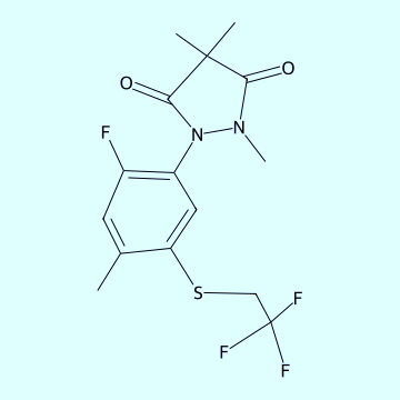 Cc1cc(F)c(N2C(=O)C(C)(C)C(=O)N2C)cc1SCC(F)(F)F